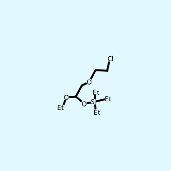 CCOC(COCCCl)O[Si](CC)(CC)CC